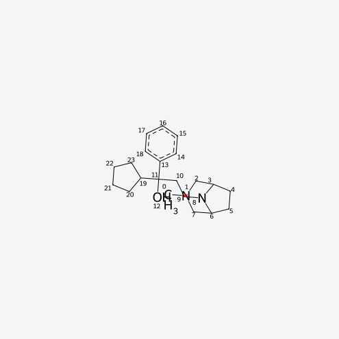 CN1CC2CCC(C1)N2CCC(O)(c1ccccc1)C1CCCC1